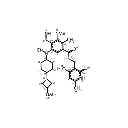 CCN(c1cc(C(=O)NCc2c(C)cc(C)[nH]c2=O)c(C)c(NC)c1C=N)C1CCC(N2CC(OC)C2)CC1